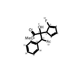 COC(=O)C(O)(C1C=CC=C1F)C(C(C)=O)c1ccccc1